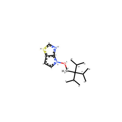 CC(C)C([SiH2]On1ccc2scnc21)(C(C)C)C(C)C